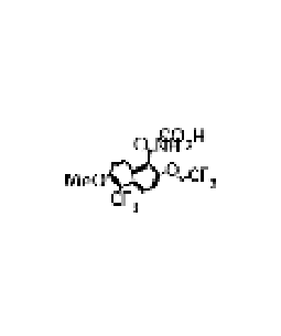 COc1ccc2c(C(=O)NC(=O)O)c(OCC(F)(F)F)ccc2c1C(F)(F)F